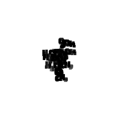 Cc1ccc(C(C)(C)C(=O)N[C@H](C(=O)N[C@H](CCC(=O)O)C(=O)O)C(C)(C)C)cc1